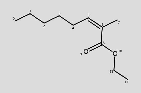 CCCCCC=C(C)C(=O)OCC